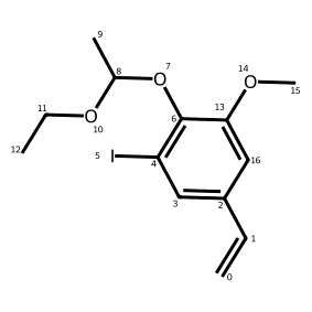 C=Cc1cc(I)c(OC(C)OCC)c(OC)c1